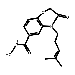 CC(C)=CCCN1C(=O)COc2ccc(C(=O)NO)cc21